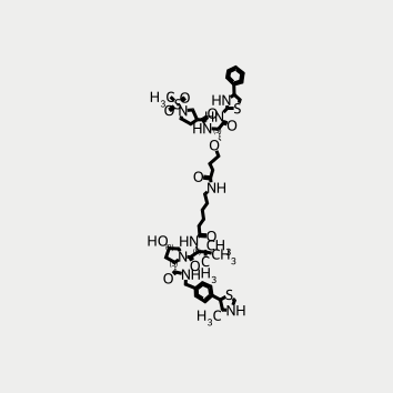 CC1NCSC1c1ccc(CNC(=O)[C@@H]2C[C@@H](O)CN2C(=O)[C@@H](NC(=O)CCCCCNC(=O)CCCOC[C@H](NC(=O)C2CCN(S(C)(=O)=O)C2)C(=O)NC2NC(c3ccccc3)CS2)C(C)(C)C)cc1